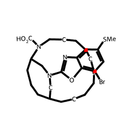 CSc1cc(Br)c2oc(N3CC4CCCCCCCCCCN(C(=O)O)C(CCC4)C3)nc2c1